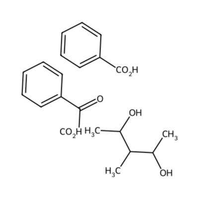 CC(O)C(C)C(C)O.O=C(O)C(=O)c1ccccc1.O=C(O)c1ccccc1